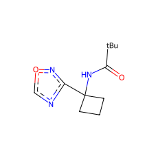 CC(C)(C)C(=O)NC1(c2ncon2)CCC1